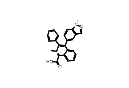 C=C(C(=O)O)c1ccccc1/C(=C(\CC)c1ccccc1)c1ccc2[nH]ncc2c1